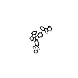 c1ccc2c(c1)Oc1cc3c(cc1O2)C1(c2ccccc2-c2ccccc21)c1cc(-c2cccc4c2oc2ccccc24)ccc1-3